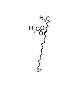 CCCCC(C=CCCCCCCCCCCCCBr)OC(C)=O